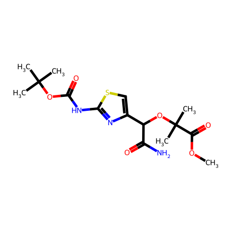 COC(=O)C(C)(C)OC(C(N)=O)c1csc(NC(=O)OC(C)(C)C)n1